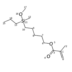 C=C(C)C(=O)OCCCCC[Si](C)(CCC)OC